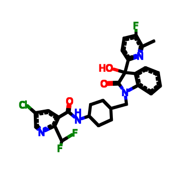 Cc1nc(C2(O)C(=O)N(CC3CCC(NC(=O)c4cc(Cl)cnc4C(F)F)CC3)c3ccccc32)ccc1F